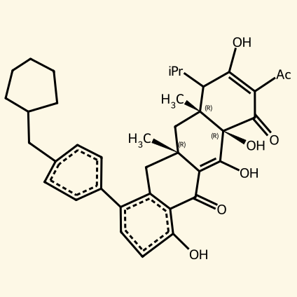 CC(=O)C1=C(O)C(C(C)C)[C@@]2(C)C[C@@]3(C)Cc4c(-c5ccc(CC6CCCCC6)cc5)ccc(O)c4C(=O)C3=C(O)[C@@]2(O)C1=O